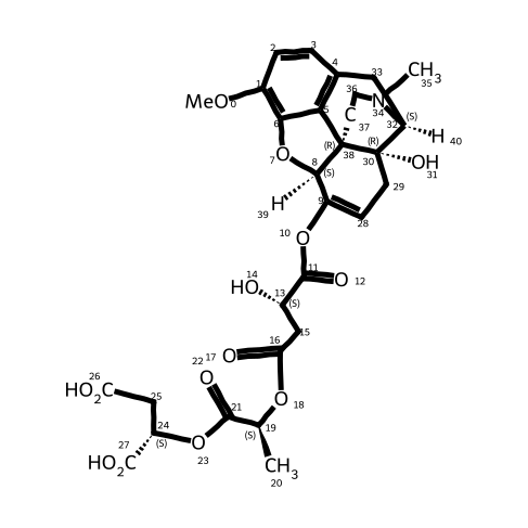 COc1ccc2c3c1O[C@@H]1C(OC(=O)[C@@H](O)CC(=O)O[C@@H](C)C(=O)O[C@@H](CC(=O)O)C(=O)O)=CC[C@]4(O)[C@H](C2)N(C)CC[C@@]314